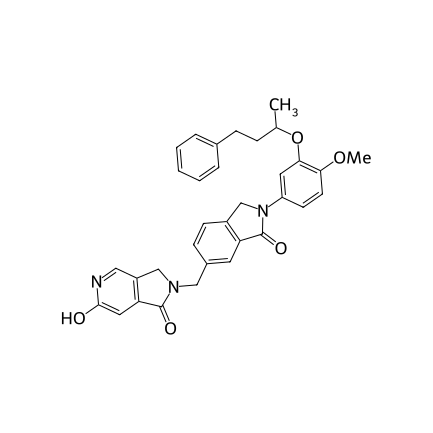 COc1ccc(N2Cc3ccc(CN4Cc5cnc(O)cc5C4=O)cc3C2=O)cc1OC(C)CCc1ccccc1